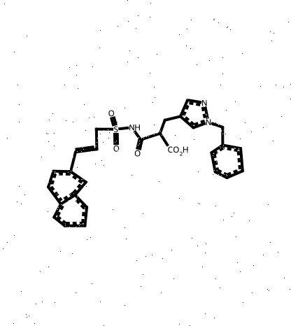 O=C(O)C(Cc1cnn(Cc2ccccc2)c1)C(=O)NS(=O)(=O)CC=Cc1ccc2ccccc2c1